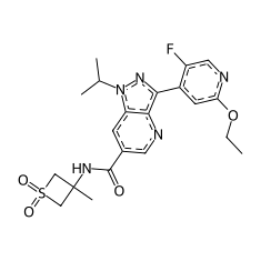 CCOc1cc(-c2nn(C(C)C)c3cc(C(=O)NC4(C)CS(=O)(=O)C4)cnc23)c(F)cn1